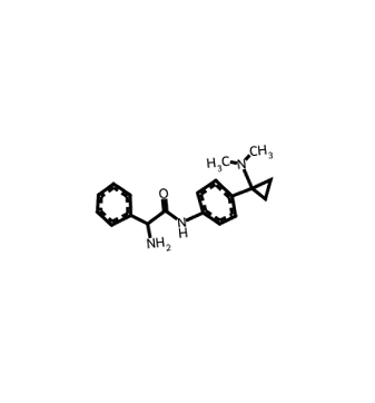 CN(C)C1(c2ccc(NC(=O)C(N)c3ccccc3)cc2)CC1